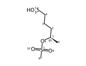 C[C@H](CCCS(=O)(=O)O)OS(C)(=O)=O